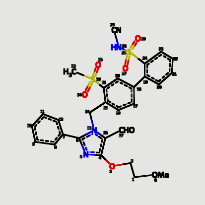 COCCOc1nc(-c2ccccc2)n(Cc2ccc(-c3ccccc3S(=O)(=O)NC#N)cc2S(C)(=O)=O)c1C=O